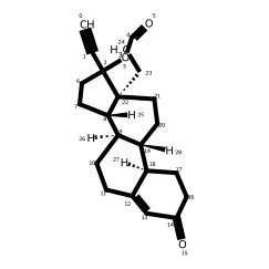 C#CC1(OC=O)CC[C@H]2[C@@H]3CCC4=CC(=O)CC[C@@H]4[C@H]3CC[C@@]21CC